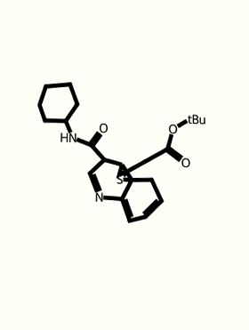 CC(C)(C)OC(=O)C1CC2C(C(=O)NC3CCCCC3)C=NC3=CC=CCC32S1